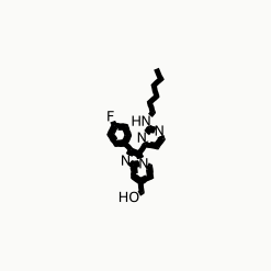 CCCCCCNc1nccc(-c2c(-c3ccc(F)cc3)nc3cc(CO)ccn23)n1